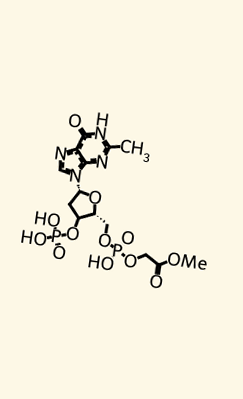 COC(=O)COP(=O)(O)OC[C@H]1O[C@@H](n2cnc3c(=O)[nH]c(C)nc32)CC1OP(=O)(O)O